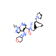 CCn1ncc2c(NC3CCOCC3)c(C(=O)NCc3cccc(CN4CCCC4)c3)cnc21